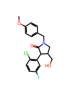 COc1ccc(CN2CC(CO)C(c3cc(F)ccc3Cl)C2=O)cc1